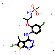 Cc1c(Cl)sc2ncnc(Nc3ccc(F)cc3OC(C)CNS(C)(=O)=O)c12